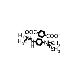 C[N+](C)=CNc1ccc(NC=[N+](C)C)cc1.O=C([O-])c1ccc(C(=O)[O-])cc1